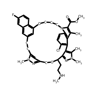 CNCCC1OCc2cc(n(C)n2)CCc2cc(c3ccc(F)cc3c2)OCCCn2c(C(=O)OC)c(C)c3c(c(Cl)ccc32)-c2c1nn(C)c2C